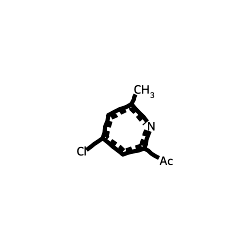 CC(=O)c1cc(Cl)cc(C)n1